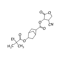 CCC(C)(C)C(=O)OC1CC2CC1CC2C(=O)OC1C(=O)OCC1C#N